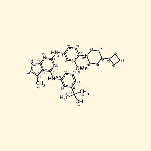 COc1cc(Nc2nc(Nc3cccc(C(C)(C)O)c3)c3c(C)csc3n2)ccc1N1CCC(C2CCC2)CC1